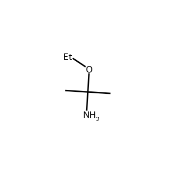 CCOC(C)(C)N